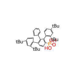 CC(C)(C)c1ccc(-c2ccc(P(=O)(O)O)c(-c3ccc(C(C)(C)C)cc3C(C)(C)C)c2-c2ccccc2)c(C(C)(C)C)c1